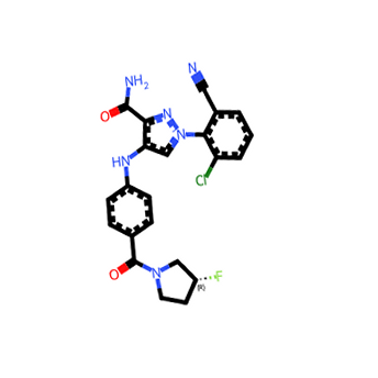 N#Cc1cccc(Cl)c1-n1cc(Nc2ccc(C(=O)N3CC[C@@H](F)C3)cc2)c(C(N)=O)n1